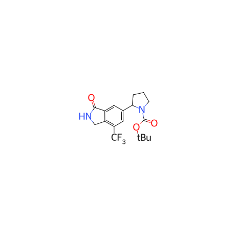 CC(C)(C)OC(=O)N1CCCC1c1cc2c(c(C(F)(F)F)c1)CNC2=O